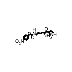 NC(CCCCNC(=O)Oc1ccc([N+](=O)[O-])cc1)C(=O)C1CCNC1